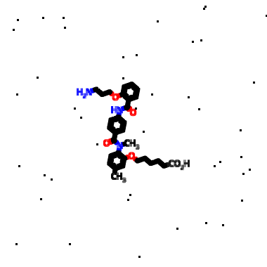 Cc1ccc(N(C)C(=O)c2ccc(NC(=O)c3ccccc3OCCCN)cc2)c(OCCCCCC(=O)O)c1